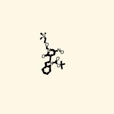 CC(C)(C)OC(=O)n1c(-c2cc(N=O)cn(COCC[Si](C)(C)C)c2=O)cc2ccccc21